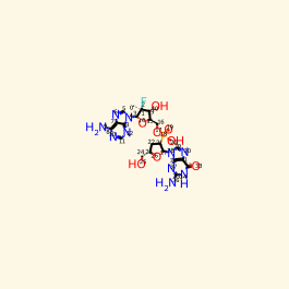 C[C@@]1(F)C(n2cnc3c(N)ncnc32)O[C@H](COP(=O)(O)[C@@H]2C[C@@H](CO)OC2n2cnc3c(=O)[nH]c(N)nc32)[C@H]1O